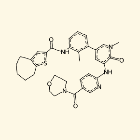 Cc1c(NC(=O)c2cc3c(s2)CCCCC3)cccc1-c1cc(Nc2ccc(C(=O)N3CCOCC3)cn2)c(=O)n(C)c1